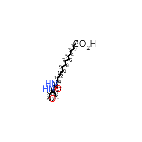 O=C(O)CCCCCCCCCCCCCCNC(=O)NC1CCOCC1